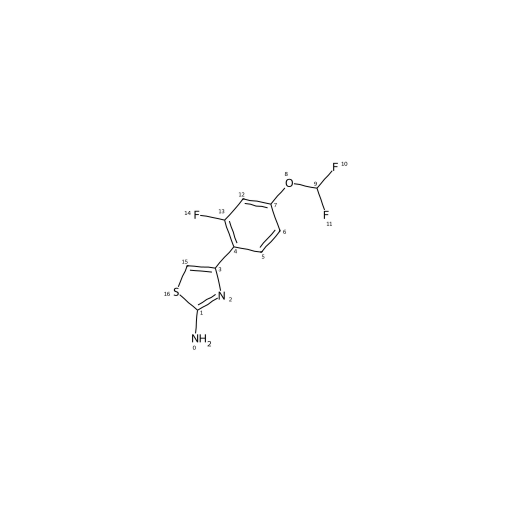 Nc1nc(-c2ccc(OC(F)F)cc2F)cs1